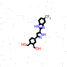 OCc1ccc(-c2cc(-c3nc4cc(C(F)(F)F)ccc4[nH]3)[nH]n2)cc1CO